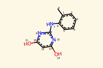 Cc1ccccc1Nc1nc(O)cc(O)n1